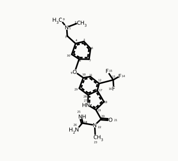 CN(C)Cc1cccc(Oc2cc(C(F)(F)F)c3cc(C(=O)N(C)C(=N)N)[nH]c3c2)c1